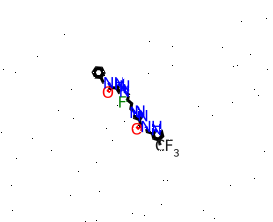 O=C(NCc1cc(C(F)(F)F)ccn1)c1cn(CCC(F)Cn2cc(C(=O)NCc3ccccc3)nn2)nn1